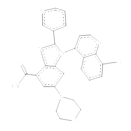 NC(=O)c1cc(N2CCOCC2)cc2c1nc(-c1cccnc1)n2-c1ccnc2c(Cl)cccc12